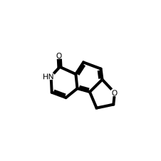 O=c1[nH]ccc2c3c(ccc12)OCC3